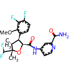 COc1c([C@H]2[C@@H](C(=O)Nc3ccnc(C(N)=O)c3)O[C@](C)(C(F)F)[C@@H]2C)ccc(F)c1F